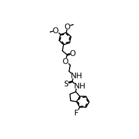 COc1ccc(CC(=O)OCCNC(=S)NC2CCc3c(F)cccc32)cc1OC